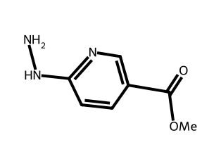 COC(=O)c1ccc(NN)nc1